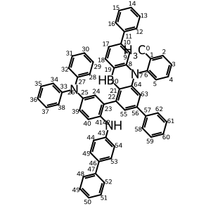 Cc1ccccc1N1c2cc(-c3ccccc3)ccc2Bc2c(-c3cc(N(c4ccccc4)c4ccccc4)ccc3Nc3ccc(-c4ccccc4)cc3)cc(-c3ccccc3)cc21